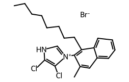 CCCCCCCCc1c(-[n+]2c[nH]c(Cl)c2Cl)c(C)cc2ccccc12.[Br-]